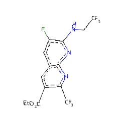 CCOC(=O)c1cc2cc(F)c(NCC(F)(F)F)nc2nc1C(F)(F)F